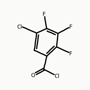 O=C(Cl)c1cc(Cl)c(F)c(F)c1F